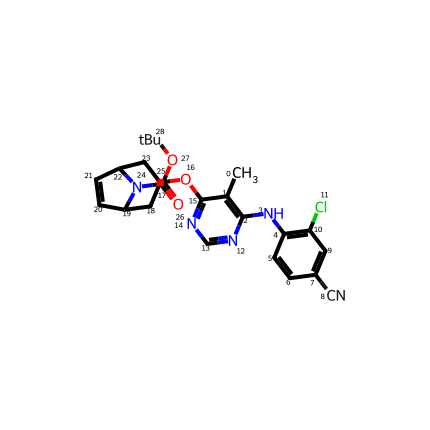 Cc1c(Nc2ccc(C#N)cc2Cl)ncnc1OC1CC2C=CC(C1)N2C(=O)OC(C)(C)C